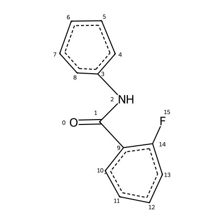 O=C(Nc1ccccc1)c1[c]cccc1F